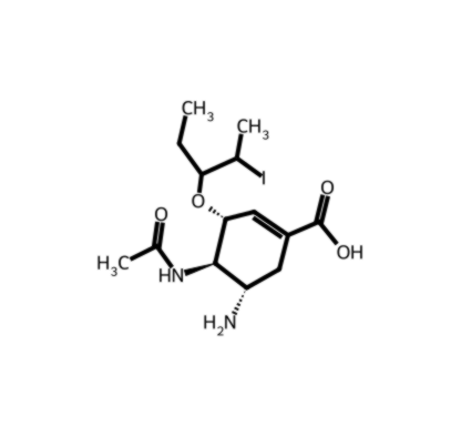 CCC(O[C@@H]1C=C(C(=O)O)C[C@H](N)[C@H]1NC(C)=O)C(C)I